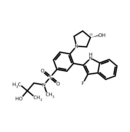 CN(CC(C)(C)O)S(=O)(=O)c1ccc(N2CC[C@H](O)C2)c(-c2[nH]c3ccccc3c2F)c1